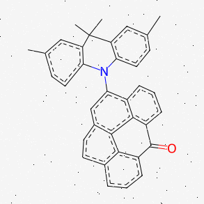 Cc1ccc2c(c1)C(C)(C)c1cc(C)ccc1N2c1cc2ccc3cccc4c3c2c2c(cccc12)C4=O